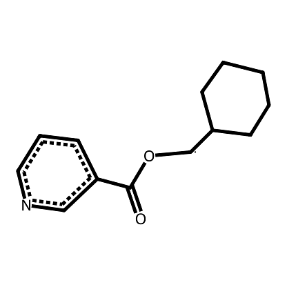 O=C(O[CH]C1CCCCC1)c1cccnc1